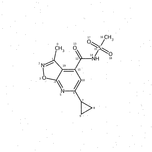 Cc1noc2nc(C3CC3)cc(C(=O)NS(C)(=O)=O)c12